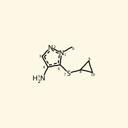 Cn1ncc(N)c1SC1CC1